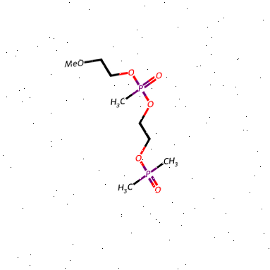 COCCOP(C)(=O)OCCOP(C)(C)=O